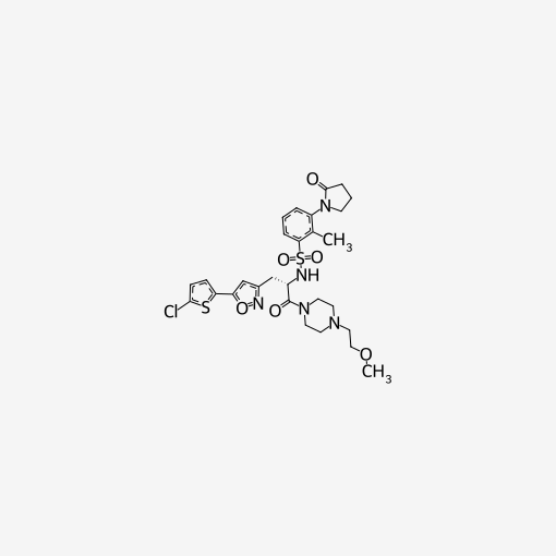 COCCN1CCN(C(=O)[C@H](Cc2cc(-c3ccc(Cl)s3)on2)NS(=O)(=O)c2cccc(N3CCCC3=O)c2C)CC1